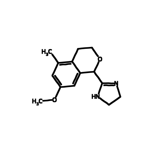 COc1cc(C)c2c(c1)C(C1=NCCN1)OCC2